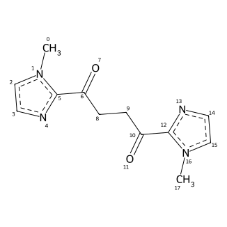 Cn1ccnc1C(=O)CCC(=O)c1nccn1C